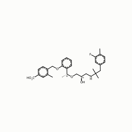 Cc1ccc(CC(C)(C)NC[C@@H](O)CO[C@H](C)c2ccccc2OCc2ccc(C(=O)O)cc2C)cc1F